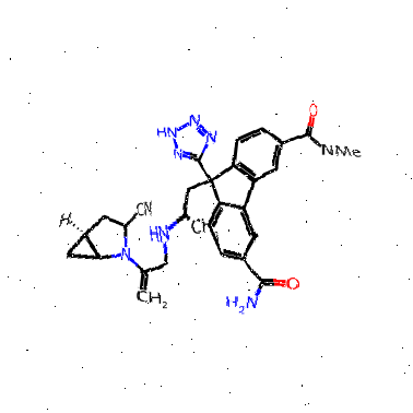 C=C(CN[C@@H](C)CC1(c2nn[nH]n2)c2ccc(C(N)=O)cc2-c2cc(C(=O)NC)ccc21)N1C(C#N)C[C@@H]2CC21